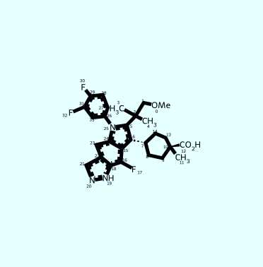 COCC(C)(C)c1c([C@H]2CC[C@](C)(C(=O)O)CC2)c2c(F)c3[nH]ncc3cc2n1-c1ccc(F)c(F)c1